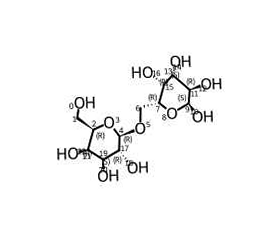 OC[C@H]1O[C@@H](OC[C@H]2O[C@H](O)[C@H](O)[C@@H](O)[C@H]2O)[C@H](O)[C@@H](O)[C@H]1O